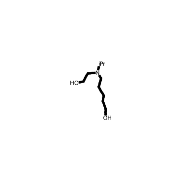 CC(C)N(CCO)CCCCCO